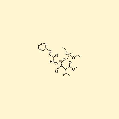 C=C(C)C(C(=O)OC)N1C(=O)[C@@H](NC(=O)COc2ccccc2)[C@H]1OCC(C)(OCC)OCC